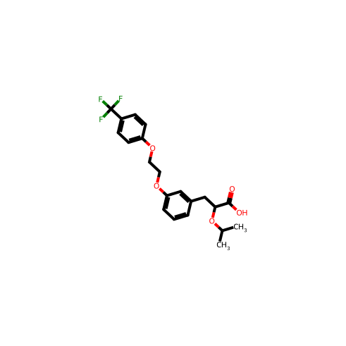 CC(C)OC(Cc1cccc(OCCOc2ccc(C(F)(F)F)cc2)c1)C(=O)O